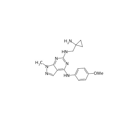 COc1ccc(Nc2nc(NCC3(N)CC3)nc3c2cnn3C)cc1